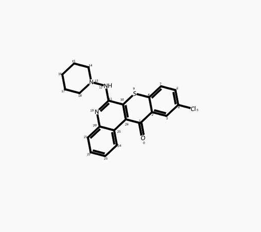 O=c1c2cc(Cl)ccc2sc2c(NN3CCCCC3)nc3ccccc3c12